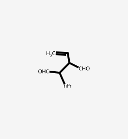 C=CC(C=O)C(C=O)CCC